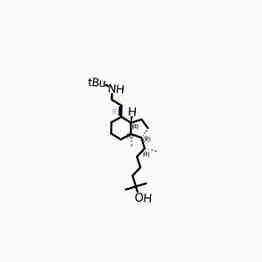 C[C@H](CCCC(C)(C)O)[C@H]1CC[C@H]2/C(=C/CNC(C)(C)C)CCC[C@]12C